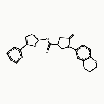 O=C(NC1NC(c2ccccn2)=CS1)C1CC(=O)N(c2ccc3c(c2)OCCO3)C1